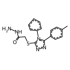 Cc1ccc(-c2nnc(SCC(=O)NN)n2-c2ccccc2)cc1